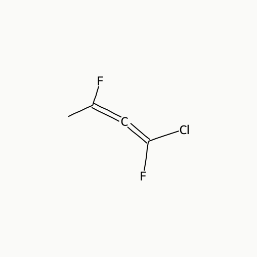 CC(F)=C=C(F)Cl